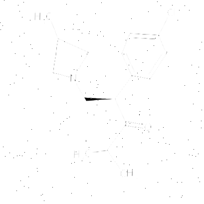 CC1CN(C[C@H](C(=O)C(C)C)c2ccc(Cl)cc2)C1